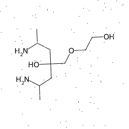 CC(N)CC(O)(COCCO)CC(C)N